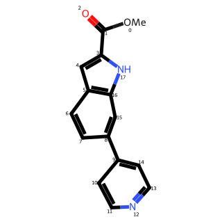 COC(=O)c1cc2ccc(-c3ccncc3)cc2[nH]1